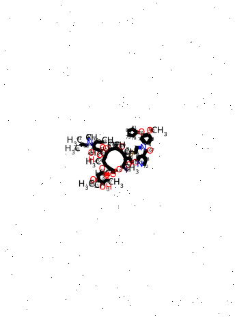 COc1ccc(N(CCS[C@@H]2C(=O)O[C@@]3(C)[C@H]2[C@@H](C)C(=O)[C@H](C)C[C@@](C)(OC)[C@H](O[C@@H]2O[C@H](C)C[C@H](N(C)CC(C)C)[C@H]2O)[C@@H](C)[C@H](O[C@H]2C[C@@](C)(OC)[C@@H](O)[C@H](C)O2)[C@@H](C)C(=O)O[C@@H]3I)C(=O)c2ccncc2)cc1OC1CCCC1